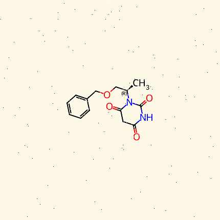 C[C@H](COCc1ccccc1)N1C(=O)CC(=O)NC1=O